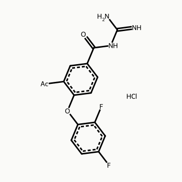 CC(=O)c1cc(C(=O)NC(=N)N)ccc1Oc1ccc(F)cc1F.Cl